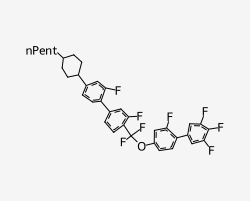 CCCCCC1CCC(c2ccc(-c3ccc(C(F)(F)Oc4ccc(-c5cc(F)c(F)c(F)c5)c(F)c4)c(F)c3)c(F)c2)CC1